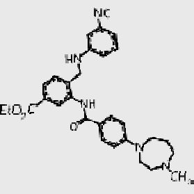 [C-]#[N+]c1cccc(NCc2ccc(C(=O)OCC)cc2NC(=O)c2ccc(N3CCCN(C)CC3)cc2)c1